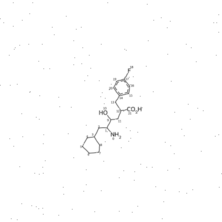 NC(CC1CCCCC1)C(O)CC(Cc1ccc(F)cc1)C(=O)O